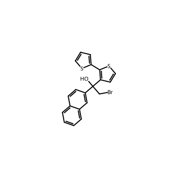 OC(CBr)(c1ccc2ccccc2c1)c1ccsc1-c1cccs1